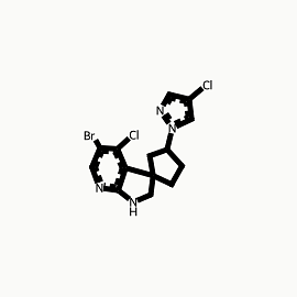 Clc1cnn(C2CCC3(CNc4ncc(Br)c(Cl)c43)C2)c1